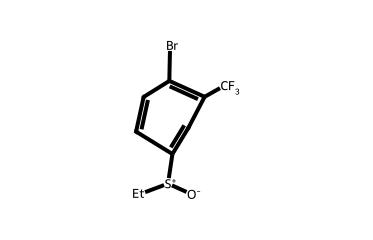 CC[S+]([O-])c1ccc(Br)c(C(F)(F)F)c1